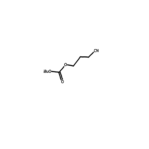 CC(C)COC(=O)OCCCC#N